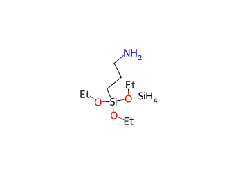 CCO[Si](CCCN)(OCC)OCC.[SiH4]